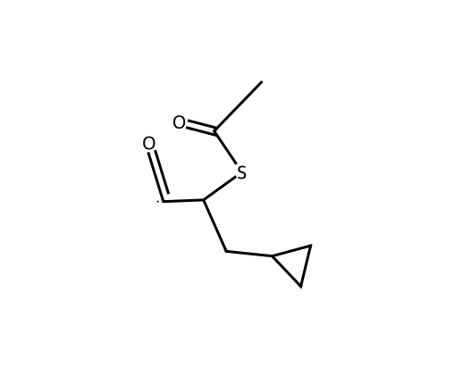 CC(=O)SC([C]=O)CC1CC1